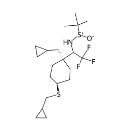 CC(C)(C)[S+]([O-])NC(C(F)(F)F)[C@]1(CC2CC2)CC[C@H](SCC2CC2)CC1